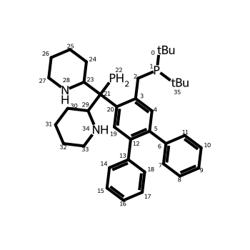 CC(C)(C)P(Cc1cc(-c2ccccc2)c(-c2ccccc2)cc1C(P)(C1CCCCN1)C1CCCCN1)C(C)(C)C